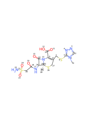 Cn1cnnc1SCC1=C(C(=O)O)N2C(=O)C(NC(=O)CS(N)(=O)=O)[C@@H]2SC1